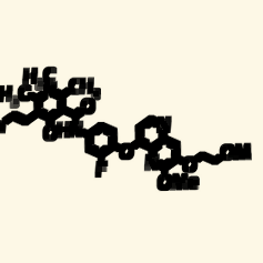 COCCOc1cc2nccc(Oc3ccc(NC(=O)c4c(C)n(C)c(C)c(/C=C/C(C)(C)C)c4=O)cc3F)c2nc1OC